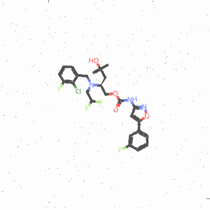 CC(C)(O)C[C@@H](COC(=O)Nc1cc(-c2cccc(F)c2)on1)N(Cc1cccc(F)c1Cl)CC(F)F